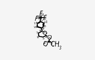 CC(=O)OC1CCCC(c2ccc(C(F)(F)F)cc2)O1